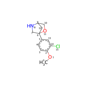 COc1ccc(C23CNC(CO2)C3)cc1Cl